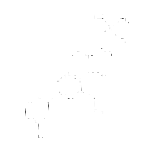 CSc1cc(-c2cccc(Br)c2)nc2c1C(=O)N(C(=O)OC(C)(C)C)CC2